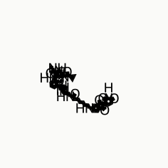 CNC(=O)c1nnc(NC(=O)C2CC2)cc1Nc1cccc(-c2ncn(CCNC(=O)CCCCCCNc3ccc4c(c3)C(=O)N(C3CCC(=O)NC3=O)C4=O)n2)c1OC